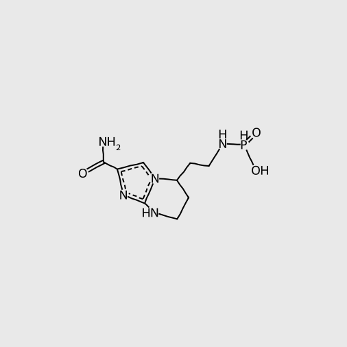 NC(=O)c1cn2c(n1)NCCC2CCN[PH](=O)O